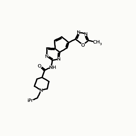 Cc1nnc(-c2ccc3cnc(NC(=O)C4CCN(CC(C)C)CC4)nc3c2)o1